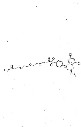 CNCCOCCOCCOCCNS(=O)(=O)c1ccc([C@@H]2CN(C)Cc3c(Cl)cc(Cl)cc32)cc1